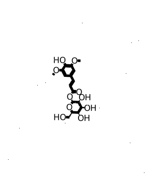 COc1cc(C=CC(=O)O[C@@H]2O[C@H](CO)[C@@H](O)[C@H](O)[C@H]2O)cc(OC)c1O